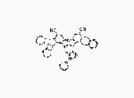 N#Cc1cc2c(c3c1C1c4ccccc4C3c3ccccc31)c1c3ncn(-c4ccccc4)c3cc3c4c5c(c(C#N)cc4n2c31)C1c2ccccc2C12c1ccccc1C52